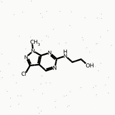 Cn1nc(Cl)c2cnc(NCCO)nc21